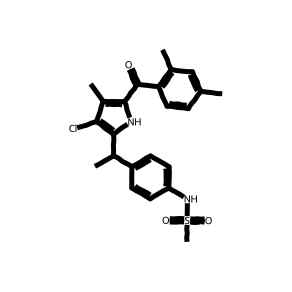 Cc1ccc(C(=O)c2[nH]c(C(C)c3ccc(NS(C)(=O)=O)cc3)c(Cl)c2C)c(C)c1